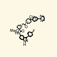 CO[C@@]1(C(=O)Nc2ccc3[nH]nc(-c4ccc(F)cc4)c3c2)CCN(CC(=O)N2CCC(C)(c3ccc(-c4ncccn4)cc3)CC2)C1